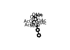 CCCO[C@]1(C(=O)OC)C[C@H](OC(C)=O)[C@@H](NC(C)=O)[C@H]([C@H](OC(C)=O)[C@@H](CNC(=O)c2ccc(-c3ccccc3)cc2)OC(C)=O)O1